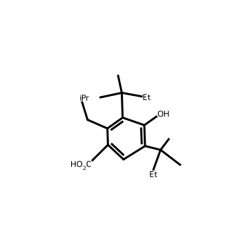 CCC(C)(C)c1cc(C(=O)O)c(CC(C)C)c(C(C)(C)CC)c1O